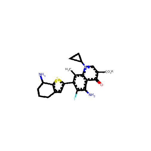 Cc1c(-c2cc3c(s2)C(N)CCC3)c(F)c(N)c2c(=O)c(C(=O)O)cn(C3CC3)c12